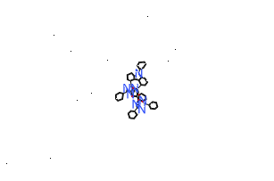 c1ccc(-c2nc(-c3ccccc3)nc(-c3cccc(-c4cccc5c4c4c(-c6nc(-c7ccccc7)nc(-c7ccccc7)n6)cccc4n5-c4ccccc4)c3)n2)cc1